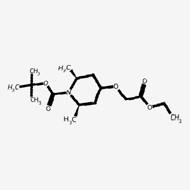 CCOC(=O)COC1C[C@@H](C)N(C(=O)OC(C)(C)C)[C@@H](C)C1